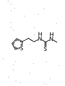 CNC(=S)NCCc1cccs1